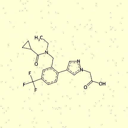 CCN(Cc1cc(C(F)(F)F)ccc1-c1cnn(CC(=O)O)c1)C(=O)C1CC1